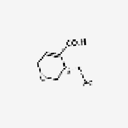 CC(=O)S[C@@H]1COCC=C1C(=O)O